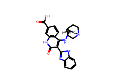 O=C(O)c1ccc2c(N[C@H]3CN4CCC3CC4)c(-c3nc4ccccc4[nH]3)c(=O)[nH]c2c1